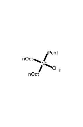 [CH2]CCC(C)[N+](C)(CCCCCCCC)CCCCCCCC